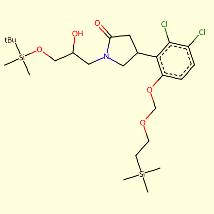 CC(C)(C)[Si](C)(C)OCC(O)CN1CC(c2c(OCOCC[Si](C)(C)C)ccc(Cl)c2Cl)CC1=O